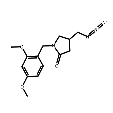 COc1ccc(CN2CC(CN=[N+]=[N-])CC2=O)c(OC)c1